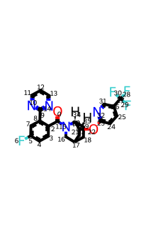 O=C(c1ccc(F)cc1-c1ncccn1)N1CC2CC[C@H]1[C@H](Oc1ccc(C(F)(F)F)cn1)C2